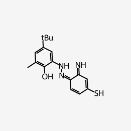 Cc1cc(C(C)(C)C)cc(N/N=C2/C=CC(S)=CC2=N)c1O